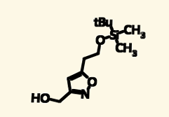 CC(C)(C)[Si](C)(C)OCCc1cc(CO)no1